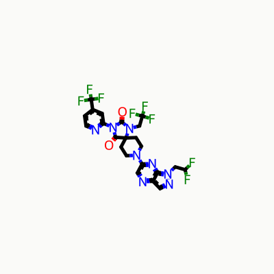 O=C1N(c2cc(C(F)(F)F)ccn2)C(=O)C2(CCN(c3cnc4cnn(CC(F)F)c4n3)CC2)N1CC(F)(F)F